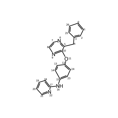 c1ccc(Cc2nccnc2Oc2ccc(Nc3ccccn3)cc2)cc1